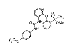 COC(C)(C)c1ccccc1Oc1ncccc1NC(=O)Nc1ccc(OC(F)(F)F)cc1